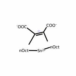 C/C(C(=O)[O-])=C(\C)C(=O)[O-].CCCCCCC[CH2][Sn+2][CH2]CCCCCCC